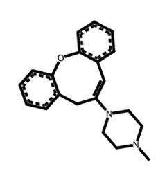 CN1CCN(C2=Cc3ccccc3Oc3ccccc3C2)CC1